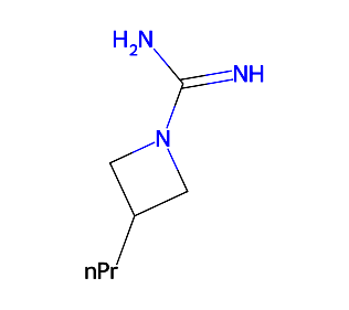 CCCC1CN(C(=N)N)C1